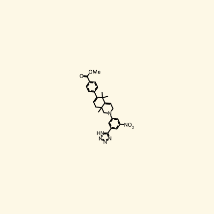 COC(=O)c1ccc(C2=CCC3(C)CN(c4cc(-c5nnn[nH]5)cc([N+](=O)[O-])c4)CC=C3C2(C)C)cc1